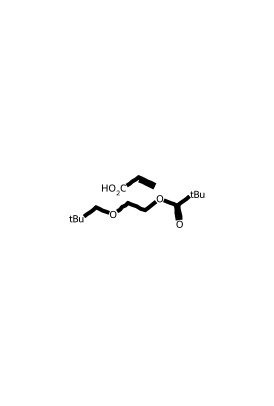 C=CC(=O)O.CC(C)(C)COCCOC(=O)C(C)(C)C